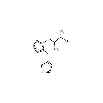 CC(Sc1nccn1Cc1ccsc1)N(C)C